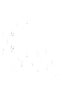 c1ccc(-c2ccc3ccc4ccc(-c5ccc(-c6cc7ccc8c9ccccc9sc8c7c7ccccc67)c6ccccc56)nc4c3n2)cc1